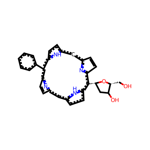 OC[C@H]1O[C@@H](c2c3nc(cc4ccc([nH]4)c(-c4ccccc4)c4nc(cc5ccc2[nH]5)C=C4)C=C3)CC1O